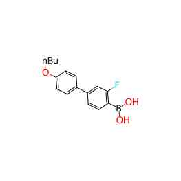 CCCCOc1ccc(-c2ccc(B(O)O)c(F)c2)cc1